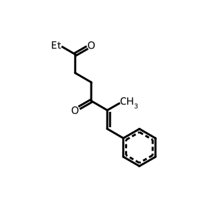 CCC(=O)CCC(=O)/C(C)=C/c1ccccc1